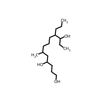 CCCC(CCCC(C)CC(O)CCCO)C(O)CC